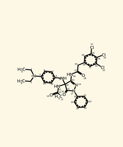 CCN(CC)c1ccc(NC2(NC(C)=O)C(=O)N(c3ccccc3)N=C2NC(=O)Cc2cc(Cl)c(Cl)c(Cl)c2)cc1